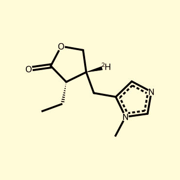 [2H][C@]1(Cc2cncn2C)COC(=O)[C@H]1CC